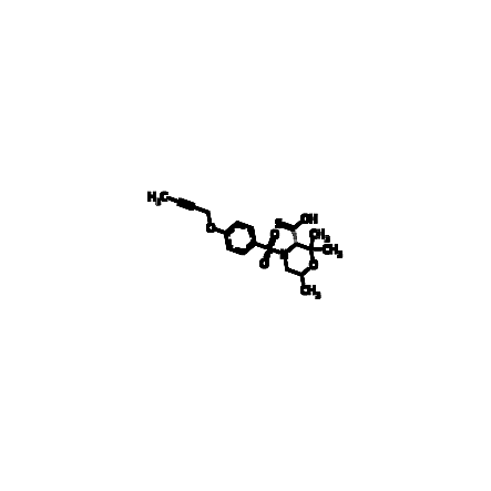 CC#CCOc1ccc(S(=O)(=O)N2CC(C)OC(C)(C)[C@H]2C(O)=S)cc1